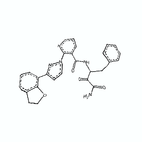 NC(=O)C(=O)C(Cc1ccccc1)NC(=O)c1cccnc1-n1ccc(-c2cccc3c2OCC3)n1